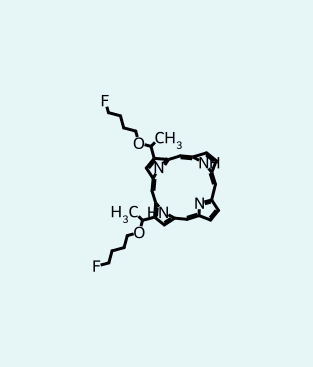 CC(OCCCCF)C1=Cc2cc3[nH]c(cc4nc(cc5ccc(cc1n2)[nH]5)C=C4)cc3C(C)OCCCCF